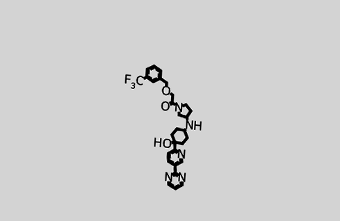 O=C(COCc1cccc(C(F)(F)F)c1)N1CCC(NC2CCC(O)(c3ccc(-c4ncccn4)cn3)CC2)C1